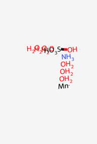 N.O.O.O.O.O.O.O=S(=O)(O)O.[Mn]